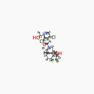 C[C@H](O)c1ncc(Cl)c(CC(=O)N2CC[C@@H]3[C@H](CCC[C@H]3C(C)(O)C(F)F)[C@@H]2C)c1Cl